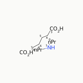 CCCNCCC.O=C(O)CCCCC(=O)O